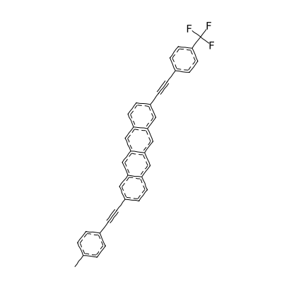 Cc1ccc(C#Cc2ccc3cc4cc5cc(C#Cc6ccc(C(F)(F)F)cc6)ccc5cc4cc3c2)cc1